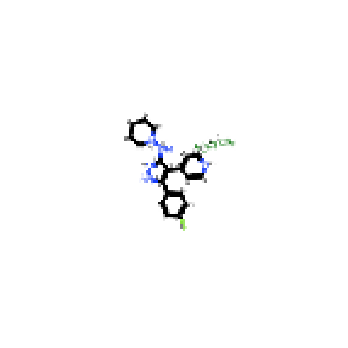 Cl.Cl.Cl.Fc1ccc(-c2[nH]nc(NN3CCCCC3)c2-c2ccncc2)cc1